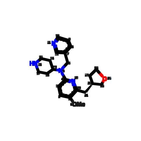 COc1ccc(N(Cc2cccnc2)C2CCNCC2)nc1C[C@@H]1CCOC1